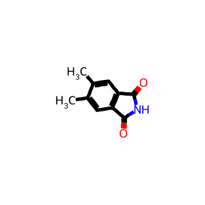 Cc1cc2c(cc1C)C(=O)NC2=O